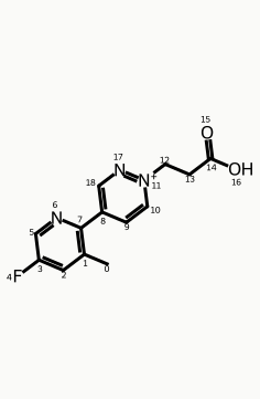 Cc1cc(F)cnc1-c1cc[n+](CCC(=O)O)nc1